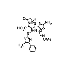 CON=CC(=O)NC1(c2csc(N)n2)S[C@H]2CC(=O)N2C(C(=O)O)=C1CSc1nc(-c2ccccc2)c(C)s1